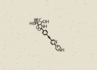 C[C@@H](O)[C@H](NC(=O)c1ccc(C#Cc2ccc(N3CCNCC3)nc2)cc1)C(=O)NO